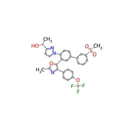 Cc1nc(-c2ccc(OC(F)(F)F)cc2)c(-c2cc(-c3cccc(S(C)(=O)=O)c3)ccc2-n2ccc(C(C)O)n2)o1